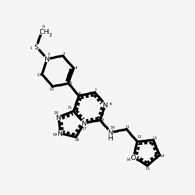 CSN1CC=C(c2cnc(NCc3ccco3)n3cnnc23)CC1